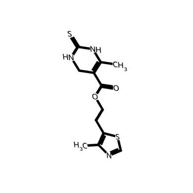 CC1=C(C(=O)OCCc2scnc2C)CNC(=S)N1